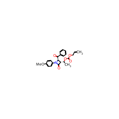 C=CCOC(=O)OC(C)[C@@H]1C(=O)N(c2ccc(OC)cc2)[C@H]1C(=O)c1ccccc1